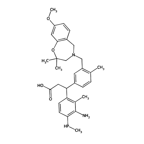 COc1ccc2c(c1)OC(C)(C)CN(Cc1cc(C(CC(=O)O)c3ccc(PC)c(N)c3C)ccc1C)C2